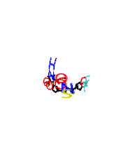 COC(=O)C1=C(C)NC(C)=C(C(=O)OC)C1c1cccc(-c2nc(-c3ccc(OC(F)F)cc3)cs2)c1